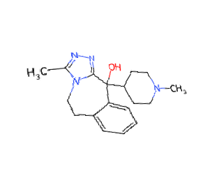 Cc1nnc2n1CCc1ccccc1C2(O)C1CCN(C)CC1